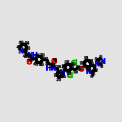 Cc1cc(-n2ccnc2)c2cccc(OCCc3c(Cl)ccc(-n4cccc4CNC(=O)C=Cc4ccc(C(=O)NCc5ccccn5)cc4)c3Cl)c2n1